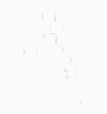 OCCCn1cc(COCc2cc(-c3ccccc3)nc3c2ccc2ccccc23)nn1